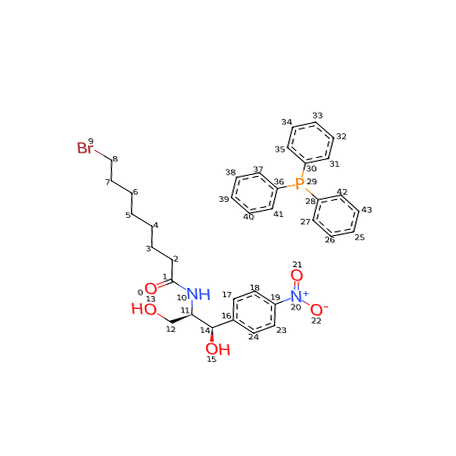 O=C(CCCCCCCBr)N[C@H](CO)[C@H](O)c1ccc([N+](=O)[O-])cc1.c1ccc(P(c2ccccc2)c2ccccc2)cc1